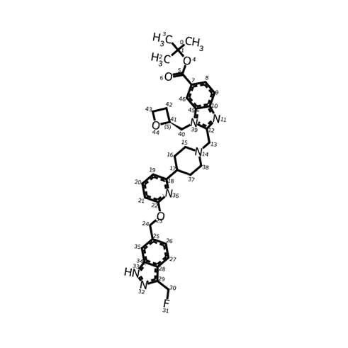 CC(C)(C)OC(=O)c1ccc2nc(CN3CCC(c4cccc(OCc5ccc6c(CF)n[nH]c6c5)n4)CC3)n(C[C@@H]3CCO3)c2c1